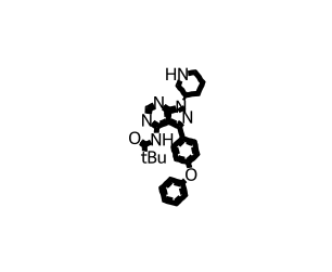 CC(C)(C)C(=O)Nc1ncnc2c1c(-c1ccc(Oc3ccccc3)cc1)nn2[C@@H]1CCCNC1